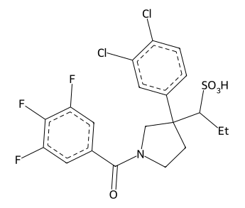 CCC(C1(c2ccc(Cl)c(Cl)c2)CCN(C(=O)c2cc(F)c(F)c(F)c2)C1)S(=O)(=O)O